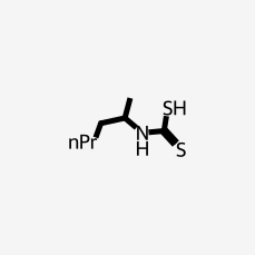 [CH2]CCCC(C)NC(=S)S